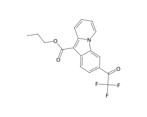 CCCOC(=O)c1c2ccc(C(=O)C(F)(F)F)cc2n2ccccc12